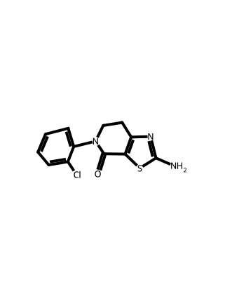 Nc1nc2c(s1)C(=O)N(c1ccccc1Cl)CC2